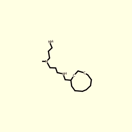 CN(CCC[NH])CCCNCC1CCCCCCCCCC1